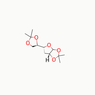 CC1(C)OC2O[C@@H]([C@H]3COC(C)(C)O3)C[C@H]2O1